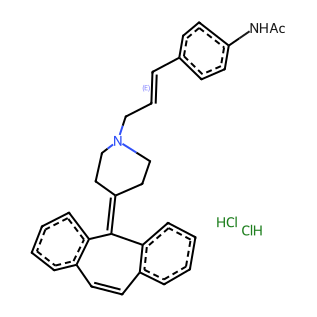 CC(=O)Nc1ccc(/C=C/CN2CCC(=C3c4ccccc4C=Cc4ccccc43)CC2)cc1.Cl.Cl